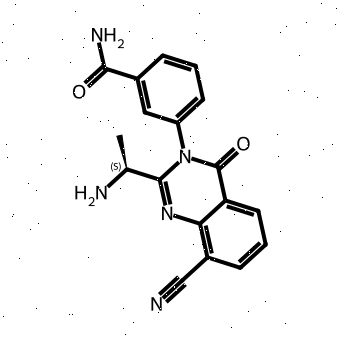 C[C@H](N)c1nc2c(C#N)cccc2c(=O)n1-c1cccc(C(N)=O)c1